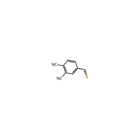 N#Cc1ccc(C=S)cc1C#N